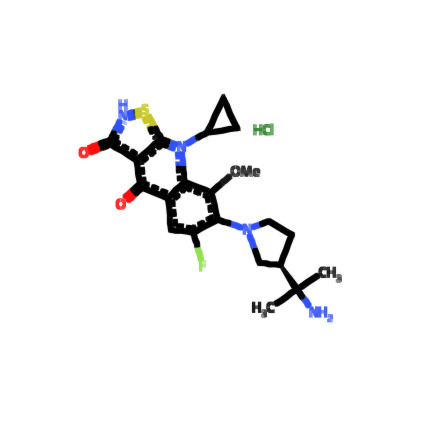 COc1c(N2CC[C@@H](C(C)(C)N)C2)c(F)cc2c(=O)c3c(=O)[nH]sc3n(C3CC3)c12.Cl